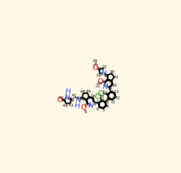 COc1nc(-c2cccc(-c3cccc(-c4cc5c(c(OC)n4)[C@@H](N4CC(OC)C4)CC5)c3Cl)c2Cl)cc2c1[C@@H](NC[C@@H]1CCC(=O)N1)CC2